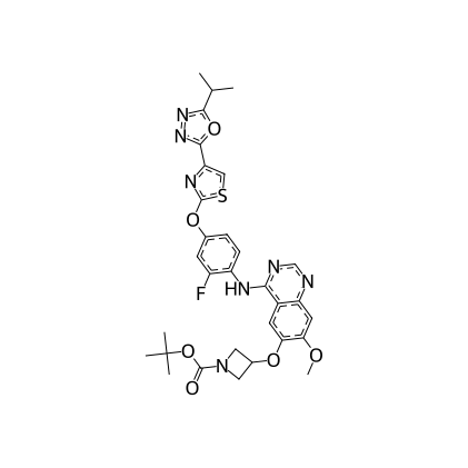 COc1cc2ncnc(Nc3ccc(Oc4nc(-c5nnc(C(C)C)o5)cs4)cc3F)c2cc1OC1CN(C(=O)OC(C)(C)C)C1